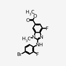 COC(=O)c1cc(F)c2nc(Nc3ccc(Br)cc3F)n(C)c2c1